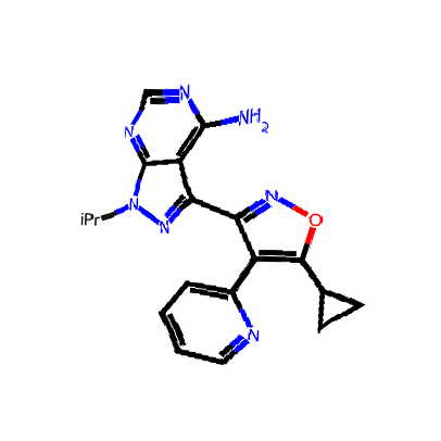 CC(C)n1nc(-c2noc(C3CC3)c2-c2ccccn2)c2c(N)ncnc21